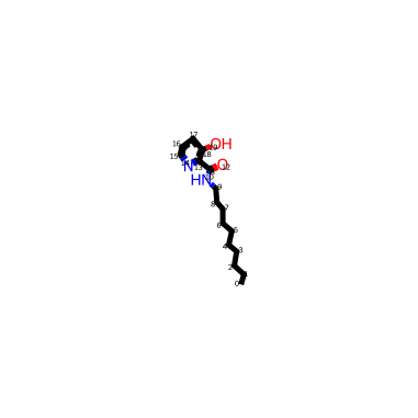 CCCCCCCCCCNC(=O)c1ncccc1O